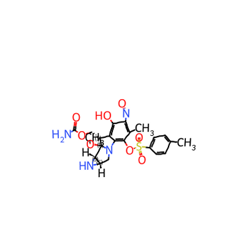 CO[C@@]12[C@H](COC(N)=O)c3c(O)c(N=O)c(C)c(OS(=O)(=O)c4ccc(C)cc4)c3N1C[C@@H]1N[C@@H]12